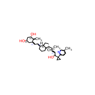 C=C1/C(=C\C=C2/CCC[C@]3(C)[C@@H]([C@H](C)/C=C/[C@@H](O)C4(c5ccc(C)cn5)CC4)CC[C@@H]23)C[C@@H](O)C[C@@H]1O